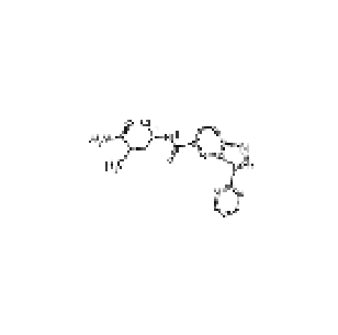 CC(CC(C)C(N)=O)NC(=O)c1ccc2nnc(-c3ncccn3)n2n1